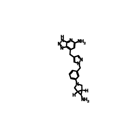 Nc1cc(Cc2cnn(Cc3cccc(N4C[C@@H]5[C@@H](N)[C@@H]5C4)c3)c2)c2nn[nH]c2n1